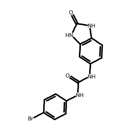 O=C(Nc1ccc(Br)cc1)Nc1ccc2[nH]c(=O)[nH]c2c1